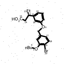 CCCCOc1cc(COc2cccc([C@H](CC)CC(=O)O)c2)ccc1Br